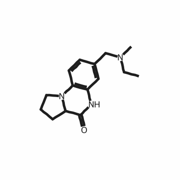 CCN(C)Cc1ccc2c(c1)NC(=O)C1CCCN21